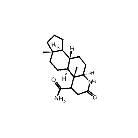 C[C@@]12CCC[C@H]1[C@@H]1CC[C@H]3NC(=O)CC(C(N)=O)[C@]3(C)[C@H]1CC2